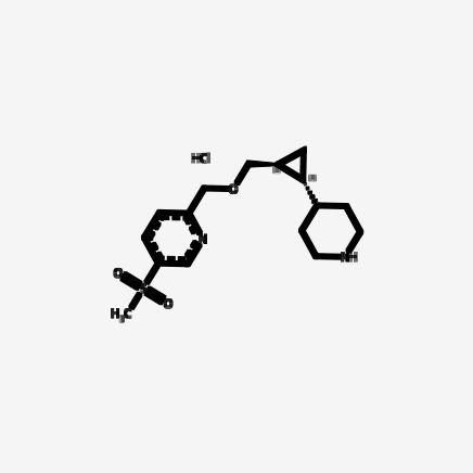 CS(=O)(=O)c1ccc(COC[C@H]2C[C@@H]2C2CCNCC2)nc1.Cl